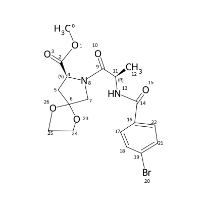 COC(=O)[C@@H]1CC2(CN1C(=O)[C@@H](C)NC(=O)c1ccc(Br)cc1)OCCO2